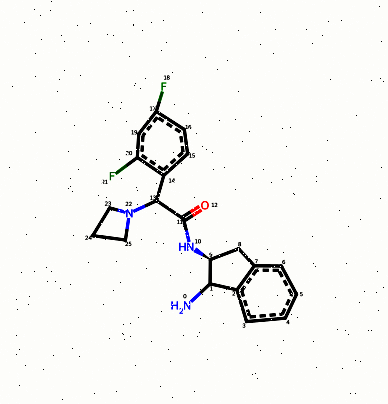 NC1c2ccccc2C[C@@H]1NC(=O)C(c1ccc(F)cc1F)N1CCC1